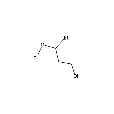 CCOC(CC)CCO